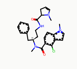 CN1C=CCC1C(=O)NCC[C@H](Cc1ccccc1)N(C)C(=O)c1ccc2c(ccn2C)c1Cl